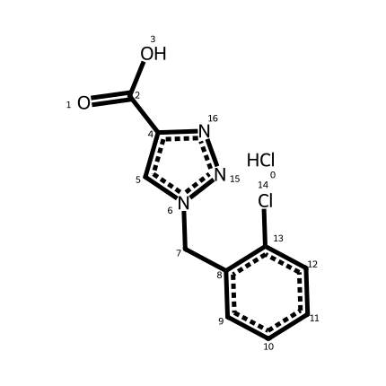 Cl.O=C(O)c1cn(Cc2ccccc2Cl)nn1